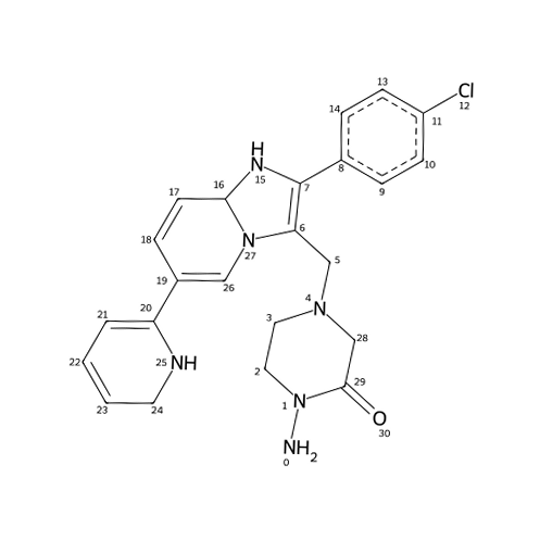 NN1CCN(CC2=C(c3ccc(Cl)cc3)NC3C=CC(C4=CC=CCN4)=CN23)CC1=O